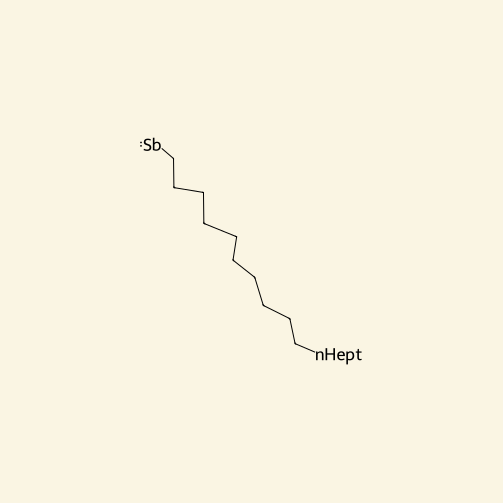 CCCCCCCCCCCCCCCC[CH2][Sb]